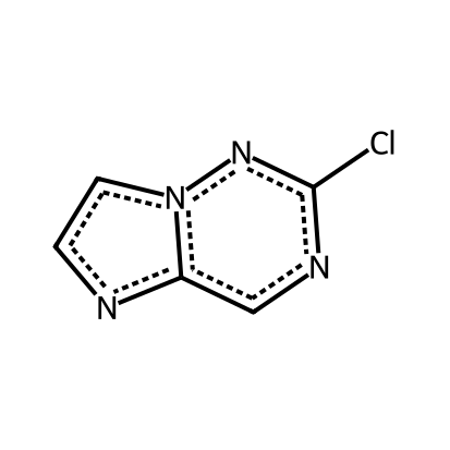 Clc1ncc2nccn2n1